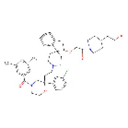 O=C(CO[C@H]1Cc2ccccc2C12CCN(CC[C@]1(c3ccc(Cl)c(Cl)c3)CN(C(=O)c3cc(C(F)(F)F)cc(C(F)(F)F)c3)CCO1)CC2)N1CCC(CCO)CC1